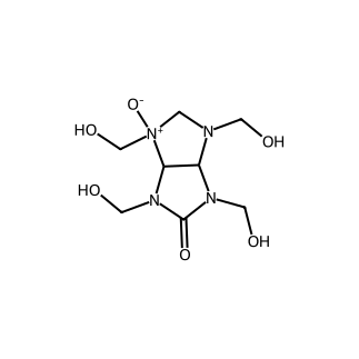 O=C1N(CO)C2C(N1CO)[N+]([O-])(CO)CN2CO